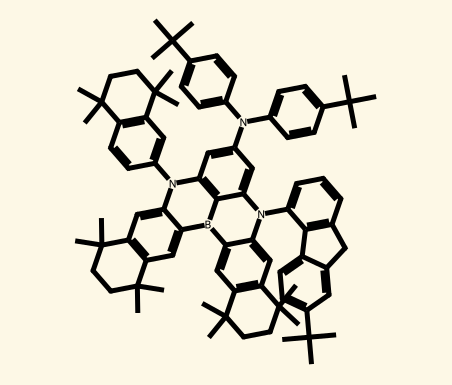 CC(C)(C)c1ccc(N(c2ccc(C(C)(C)C)cc2)c2cc3c4c(c2)N(c2cccc5c2-c2ccc(C(C)(C)C)cc2C5)c2cc5c(cc2B4c2cc4c(cc2N3c2ccc3c(c2)C(C)(C)CCC3(C)C)C(C)(C)CCC4(C)C)C(C)(C)CCC5(C)C)cc1